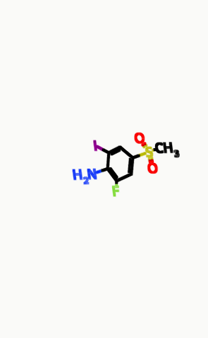 CS(=O)(=O)c1cc(F)c(N)c(I)c1